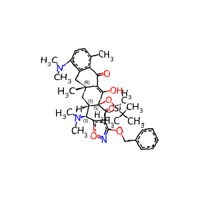 Cc1ccc(N(C)C)c2c1C(=O)C1=C(O)[C@]3(O[Si](C)(C)C(C)(C)C)C(=O)c4c(OCc5ccccc5)noc4[C@@H](N(C)C)[C@@H]3C[C@]1(C)C2